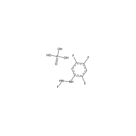 FNNc1cc(F)c(F)cc1F.O=P(O)(O)O